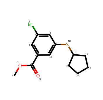 COC(=O)c1cc(Br)cc(SC2CCCC2)c1